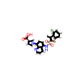 Cc1c(S(=O)(=O)Nc2ccc(N3CC[C@@H](C(=O)O)C3)c3ncccc23)sc2cccc(F)c12